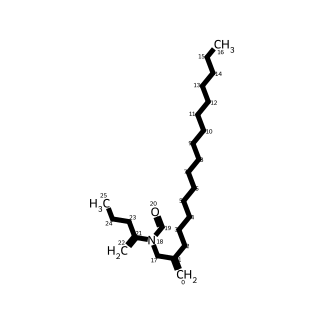 C=C(CCCCCCCCCCCCCCC)CN(C=O)C(=C)CCC